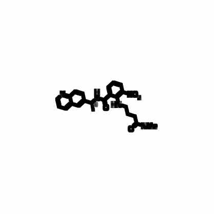 CNC(=O)CCCNc1c(C(=O)N[C@@H](C)c2ccc3ncccc3c2)cccc1[N+](=O)[O-]